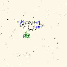 CC(=N)NC/C=C(/F)CC[C@@](C)(N)C(=O)O.Cl.Cl